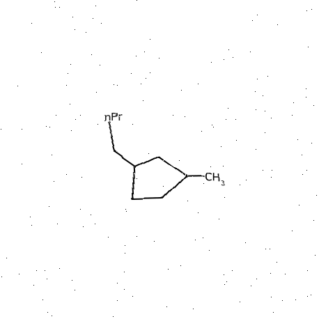 CCCCC1CCC(C)C1